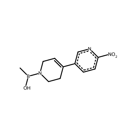 CB(O)N1CC=C(c2ccc([N+](=O)[O-])nc2)CC1